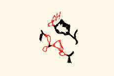 CC(C)OOC(=O)OC(C)C.CC(C)c1ccc(OO)cc1